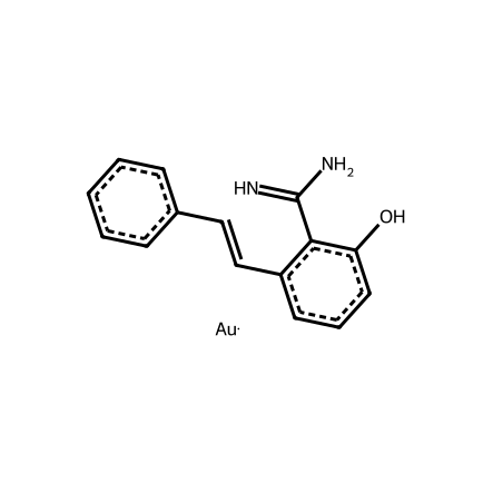 N=C(N)c1c(O)cccc1C=Cc1ccccc1.[Au]